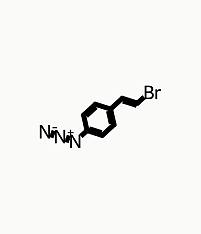 [N-]=[N+]=Nc1ccc(/C=C/Br)cc1